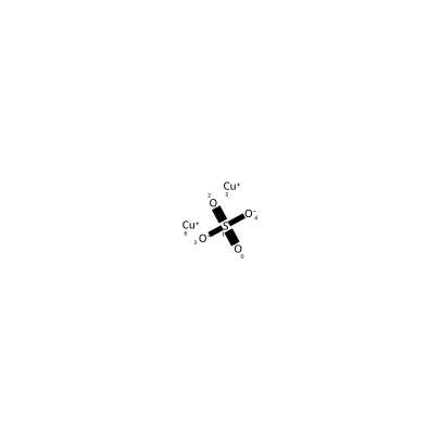 O=S(=O)([O-])[O-].[Cu+].[Cu+]